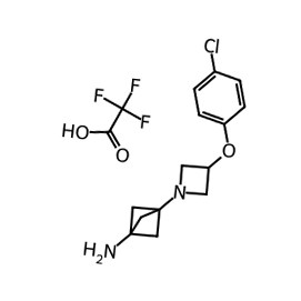 NC12CC(N3CC(Oc4ccc(Cl)cc4)C3)(C1)C2.O=C(O)C(F)(F)F